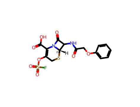 O=C(COc1ccccc1)NC1C(=O)N2C(C(=O)O)=C(OS(=O)(=O)F)CS[C@@H]12